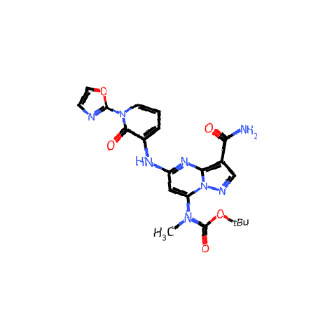 CN(C(=O)OC(C)(C)C)c1cc(Nc2cccn(-c3ncco3)c2=O)nc2c(C(N)=O)cnn12